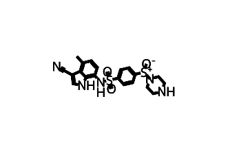 Cc1ccc(NS(=O)(=O)c2ccc([S+]([O-])N3CCNCC3)cc2)c2[nH]cc(C#N)c12